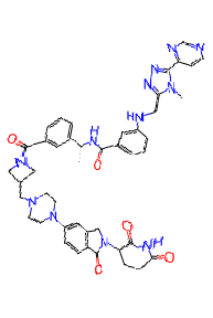 C[C@@H](NC(=O)c1cccc(NCc2nnc(-c3ccncn3)n2C)c1)c1cccc(C(=O)N2CC(CN3CCN(c4ccc5c(c4)CN(C4CCC(=O)NC4=O)C5=O)CC3)C2)c1